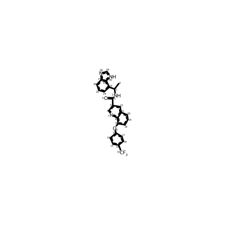 CC(NC(=O)c1cnc2c(Oc3ccc(C(F)(F)F)cc3)cccc2c1)c1cccc2nc[nH]c12